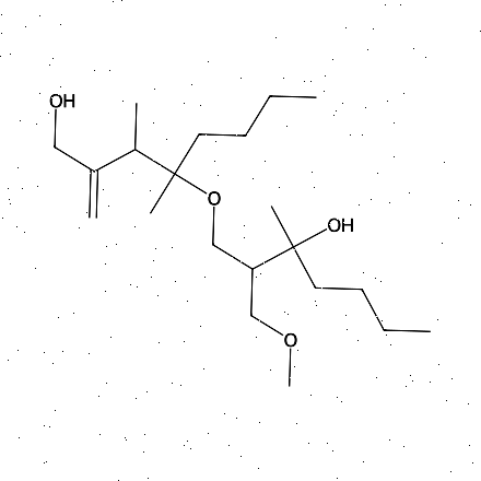 C=C(CO)C(C)C(C)(CCCC)OCC(COC)C(C)(O)CCCC